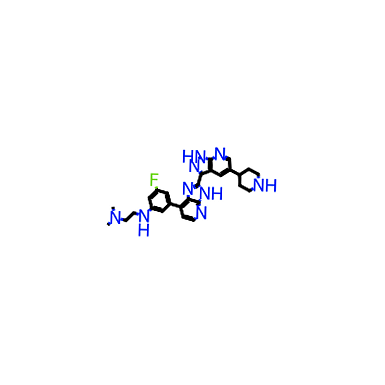 CN(C)CCNc1cc(F)cc(-c2ccnc3[nH]c(-c4n[nH]c5ncc(C6CCNCC6)cc45)nc23)c1